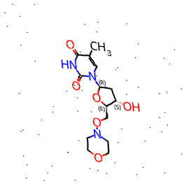 Cc1cn([C@H]2C[C@H](O)[C@@H](CON3CCOCC3)O2)c(=O)[nH]c1=O